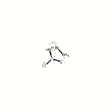 NN.[H+].[O-]P(O)O